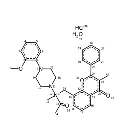 COc1ccccc1N1CCN([N+](C)(Cc2cccc3c(=O)c(C)c(-c4ccccc4)oc23)C(C)=O)CC1.Cl.O